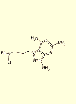 CCN(CC)CCCn1nc(N)c2cc(N)cc(N)c21